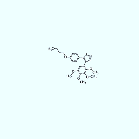 CCCCOc1ccc(-c2sncc2-c2cc(OC)c(OC)c(OC)c2OC)cc1